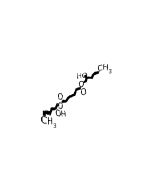 CC=CCC(O)COC(=O)CCCCC(=O)OCC(O)CC=CC